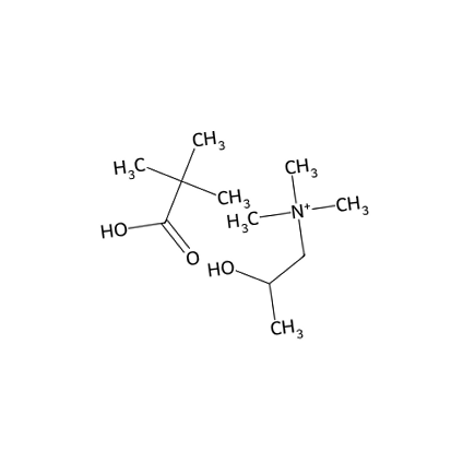 CC(C)(C)C(=O)O.CC(O)C[N+](C)(C)C